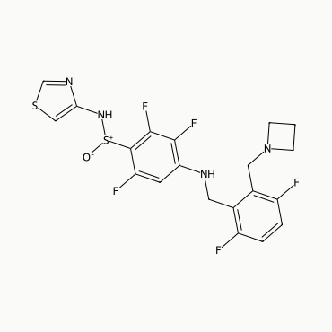 [O-][S+](Nc1cscn1)c1c(F)cc(NCc2c(F)ccc(F)c2CN2CCC2)c(F)c1F